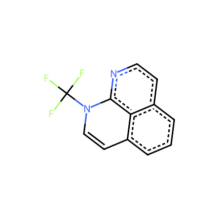 FC(F)(F)N1C=Cc2cccc3ccnc1c23